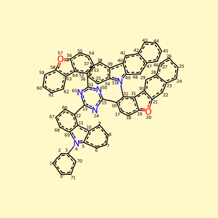 c1ccc(-n2c3ccccc3c3c(-c4nc(-c5ccc6oc7cc8ccccc8cc7c6c5-n5c6ccccc6c6cc7ccccc7cc65)nc(-c5cccc6oc7ccccc7c56)n4)cccc32)cc1